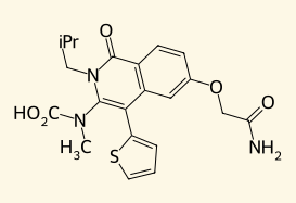 CC(C)Cn1c(N(C)C(=O)O)c(-c2cccs2)c2cc(OCC(N)=O)ccc2c1=O